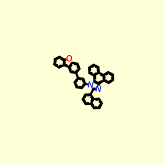 c1cc(-c2ccc3oc4ccccc4c3c2)cc(-n2c(-c3cccc4ccccc34)nc3c4ccccc4c4ccccc4c32)c1